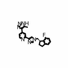 Cc1[nH]nnc1-c1ccnc(-c2cn(C[C@@H]3CCc4cccc(F)c43)cn2)c1